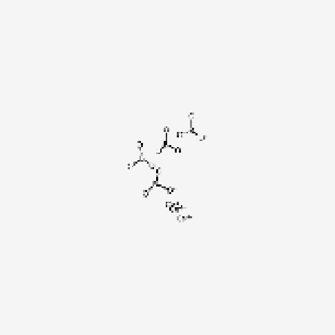 [Ce+4].[Ce+4].[Ce+4].[O-]B([O-])[O-].[O-]B([O-])[O-].[O-]B([O-])[O-].[O-]B([O-])[O-]